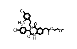 COCCOC(I)Cc1ccc2c(c1)C(=O)N(CCc1ccc(Cl)cc1N)C(c1ccc(Cl)cc1)C(=O)N2